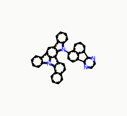 c1ccc2c(c1)ccc1c3c4c(cc5c6ccccc6n(c21)c53)c1ccccc1n4-c1ccc2c3c(cccc13)-c1nccnc1-2